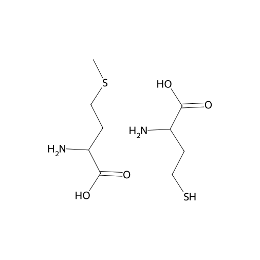 CSCCC(N)C(=O)O.NC(CCS)C(=O)O